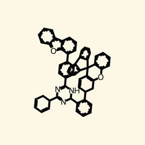 C1=CCC(C2=NC(c3ccccc3C3C=CC4=C(C3)Oc3ccccc3C43c4ccccc4-c4ccccc43)NC(c3ccc(-c4cccc5c4oc4ccccc45)cc3)=N2)C=C1